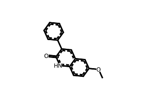 COc1ccc2[nH]c(=O)c(-c3ccccc3)cc2c1